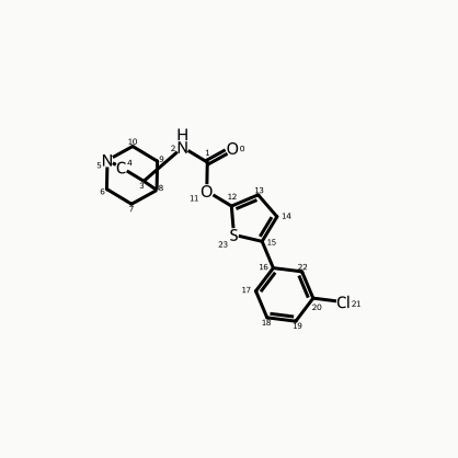 O=C(NC1CN2CCC1CC2)Oc1ccc(-c2cccc(Cl)c2)s1